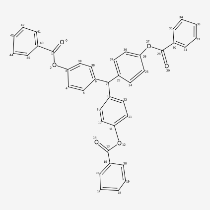 O=C(Oc1ccc(C(c2ccc(OC(=O)c3ccccc3)cc2)c2ccc(OC(=O)c3ccccc3)cc2)cc1)c1ccccc1